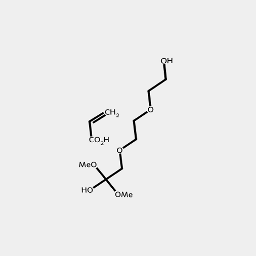 C=CC(=O)O.COC(O)(COCCOCCO)OC